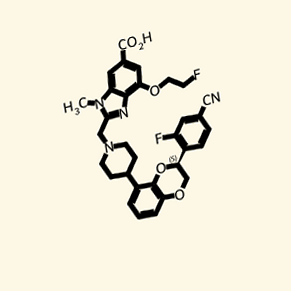 Cn1c(CN2CCC(c3cccc4c3O[C@@H](c3ccc(C#N)cc3F)CO4)CC2)nc2c(OCCF)cc(C(=O)O)cc21